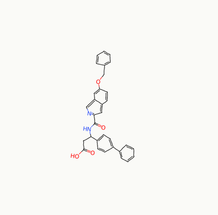 O=C(O)CC(NC(=O)c1cc2ccc(OCc3ccccc3)cc2cn1)c1ccc(-c2ccccc2)cc1